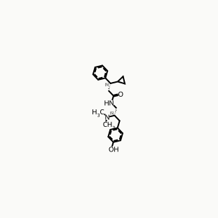 CN(C)[C@H](CNC(=O)C[C@H](c1ccccc1)C1CC1)Cc1ccc(O)cc1